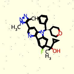 Cc1nnn(C)c1-c1cnc2c3cc(F)c(C(C)(O)C4CC4)cc3n([C@H](c3ccccc3)C3CCOCC3)c2c1